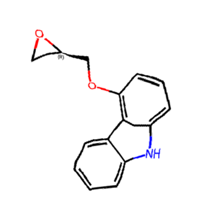 c1ccc2c(c1)[nH]c1cccc(OC[C@H]3CO3)c12